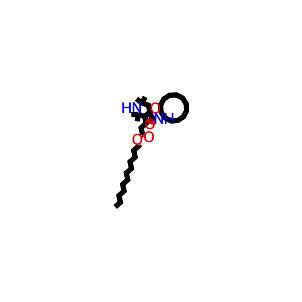 CCCCCCCCCCCCOC(=O)CCC1C(C)(C)NC(C)(C)CC12OC1(CCCCCCCCCCC1)NC2=O